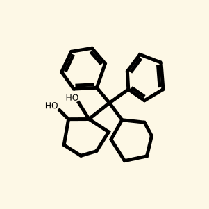 OC1CCCCC1(O)C(c1ccccc1)(c1ccccc1)C1CCCCC1